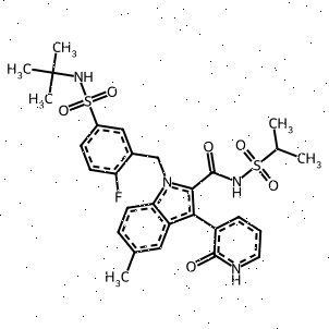 Cc1ccc2c(c1)c(-c1ccc[nH]c1=O)c(C(=O)NS(=O)(=O)C(C)C)n2Cc1cc(S(=O)(=O)NC(C)(C)C)ccc1F